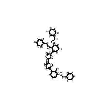 Cc1c(OCc2ccccc2)cccc1-c1cnc(-c2ncc(-c3cccc(OCc4ccccc4)c3OCc3ccccc3)o2)o1